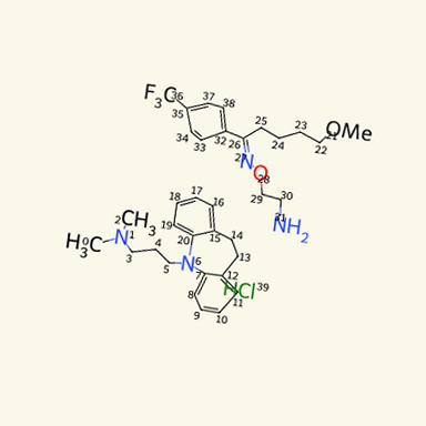 CN(C)CCCN1c2ccccc2CCc2ccccc21.COCCCC/C(=N\OCCN)c1ccc(C(F)(F)F)cc1.Cl